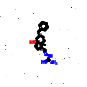 C[C@]12CC[C@H](Cc3ccccc3)C[C@@]1(O)CC[C@@H]2C=NNC(=N)N